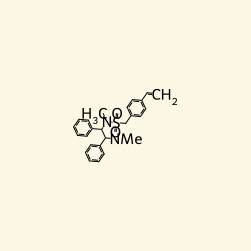 C=Cc1ccc(CS(=O)(=O)N(C)C(c2ccccc2)C(NC)c2ccccc2)cc1